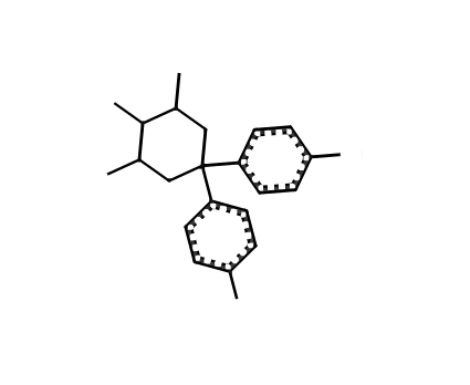 CC1CC(c2ccc(O)cc2)(c2ccc(O)cc2)CC(C)C1C